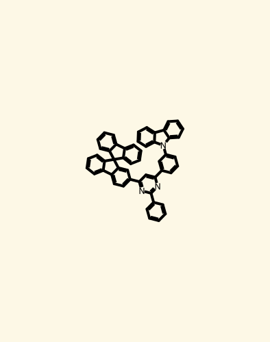 c1ccc(-c2nc(-c3cccc(-n4c5ccccc5c5ccccc54)c3)cc(-c3ccc4c(c3)C3(c5ccccc5-c5ccccc53)c3ccccc3-4)n2)cc1